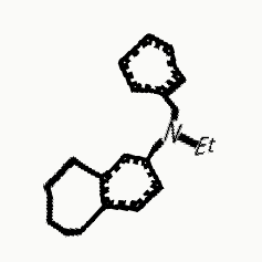 CCN(c1ccccc1)c1ccc2c(c1)CCCC2